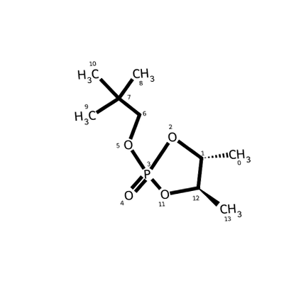 C[C@H]1OP(=O)(OCC(C)(C)C)O[C@@H]1C